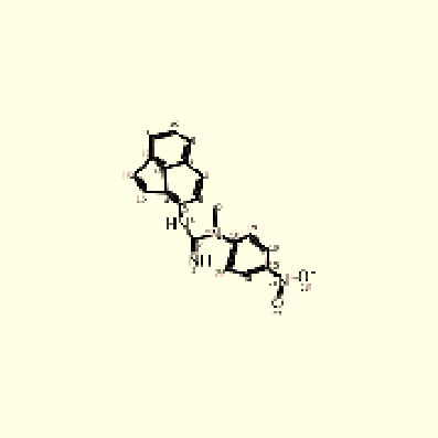 CN(C(=N)Nc1ccc2cccc3c2c1C=C3)c1ccc([N+](=O)[O-])cc1